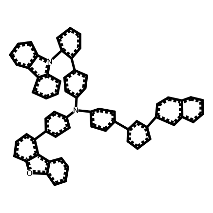 c1cc(-c2ccc(N(c3ccc(-c4ccccc4-n4c5ccccc5c5ccccc54)cc3)c3ccc(-c4cccc5oc6ccccc6c45)cc3)cc2)cc(-c2ccc3ccccc3c2)c1